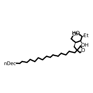 CCCCCCCCCCCCCCCCCCCCCCCCCC1(C[C@@H](CO)[C@H](O)[C@H](O)CC)COC1